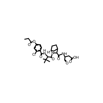 CCC(=O)Oc1ccc(C(=O)NC(C(=O)N2C(C(=O)NC(C=O)CC(=O)O)C3CC[C@H]2C3)C(C)(C)C)c(Cl)c1